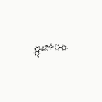 Cc1ccc2ccnc(NCC(=O)NC3CN(C4CCC(c5cccnc5)CC4)C3)c2c1